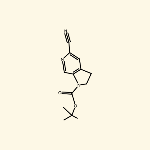 CC(C)(C)OC(=O)N1CCc2cc(C#N)ncc21